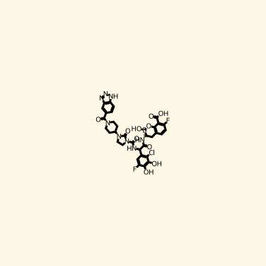 O=C(O)c1c(F)ccc2c1OB(O)[C@@H](NC(=O)C(NC(=O)N1CCN(C3CCN(C(=O)c4ccc5[nH]nnc5c4)CC3)C1=O)c1cc(F)c(O)c(O)c1Cl)C2